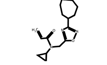 C=CC(=O)N(Cc1nc(C2CCCCCC2)no1)C1CC1